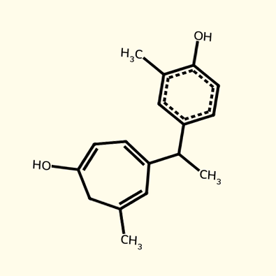 CC1=CC(C(C)c2ccc(O)c(C)c2)=CC=C(O)C1